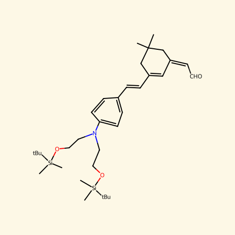 CC1(C)CC(=CC=O)C=C(C=Cc2ccc(N(CCO[Si](C)(C)C(C)(C)C)CCO[Si](C)(C)C(C)(C)C)cc2)C1